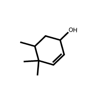 CC1CC(O)C=CC1(C)C